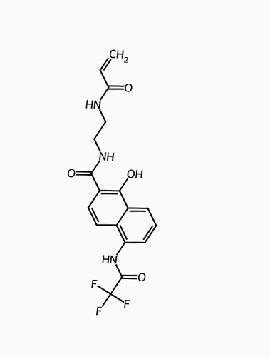 C=CC(=O)NCCNC(=O)c1ccc2c(NC(=O)C(F)(F)F)cccc2c1O